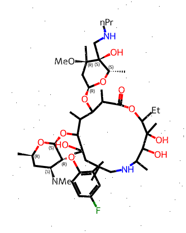 CCCNC[C@]1(O)[C@H](C)O[C@@H](OC2C(C)C(=O)OC(CC)C(C)(O)C(O)C(C)NCC(C)CC(C)(O)C(O[C@@H]3O[C@H](C)C[C@H](NC)[C@H]3Oc3ccc(F)cc3C)C2C)C[C@@]1(C)OC